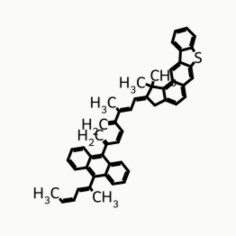 C=C(/C=C\C(=C)c1c2ccccc2c(/C(C)=C/C=C\C)c2ccccc12)/C(C)=C/C=C1\Cc2ccc3cc4sc5ccccc5c4cc3c2C1(C)C